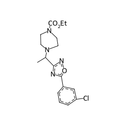 CCOC(=O)N1CCN(C(C)c2noc(-c3cccc(Cl)c3)n2)CC1